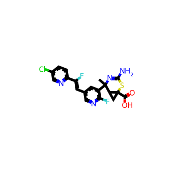 CC1(c2cc(C=C(F)c3ccc(Cl)cn3)cnc2F)N=C(N)SC2(C(=O)O)CC21